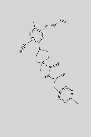 Cc1ccc(C[S+]([O-])NC(=O)C2(C)CCN(c3nc(COC=O)c(C)cc3C#N)CC2)cc1